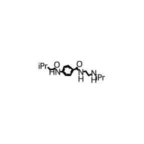 CC(C)CC(=O)Nc1ccc(C(=O)NCCNC(C)C)cc1